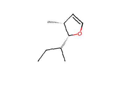 CCC(C)[C@H]1OC=C[C@H]1C